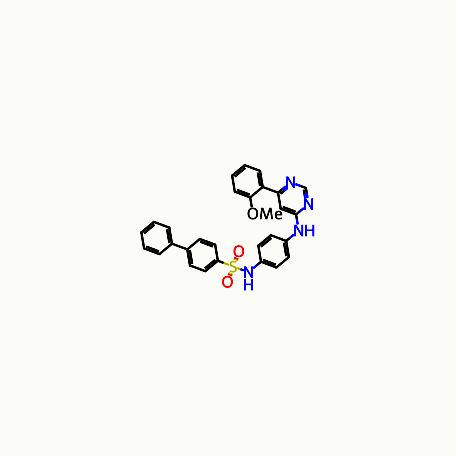 COc1ccccc1-c1cc(Nc2ccc(NS(=O)(=O)c3ccc(-c4ccccc4)cc3)cc2)ncn1